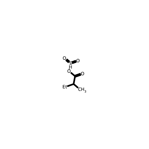 CCC(C)C(=O)O[SH](=O)=O